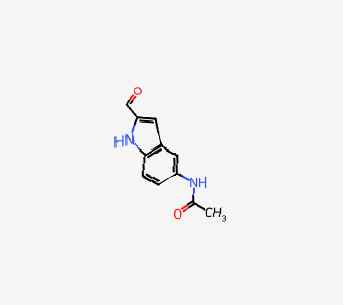 CC(=O)Nc1ccc2[nH]c(C=O)cc2c1